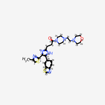 Cc1csc(-c2nc(CCC(=O)N3CCN(CCN4CCOCC4)CC3)[nH]c2-c2ccc3ncsc3c2)n1